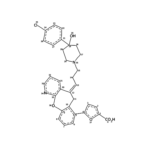 O=C(O)c1ccc(-c2cccc3c2C/C(=C/CCN2CCC(O)(c4ccc(Cl)cc4)CC2)c2cccnc2O3)o1